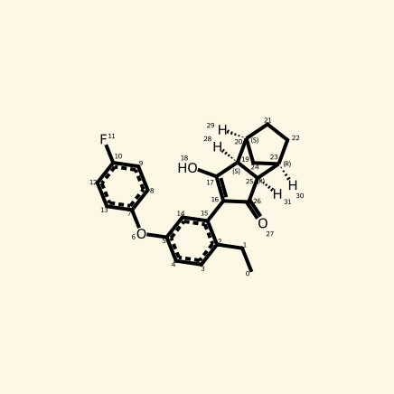 CCc1ccc(Oc2ccc(F)cc2)cc1C1=C(O)[C@H]2[C@H]3CC[C@H](C3)[C@H]2C1=O